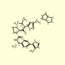 Cc1ncsc1-c1ccc([C@H](C)NC(=O)[C@@H]2CCCN2C(=O)[C@H](c2cc(OC[C@@H]3CCC4CCCN43)no2)C(C)C)cc1